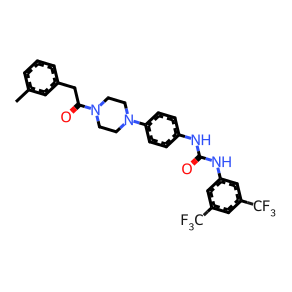 Cc1cccc(CC(=O)N2CCN(c3ccc(NC(=O)Nc4cc(C(F)(F)F)cc(C(F)(F)F)c4)cc3)CC2)c1